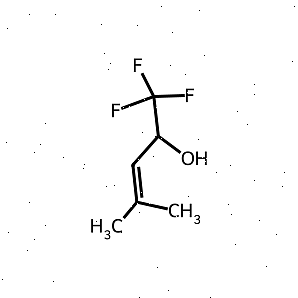 CC(C)=CC(O)C(F)(F)F